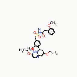 CCOC1=CC23C=NC=C2C=C(OCC)[NH+]([O-])C3C(c2ccc(CS(=O)(=O)NC(=O)Cc3ccccc3OC)cc2C)C1